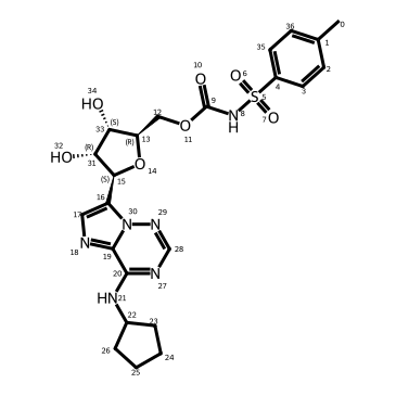 Cc1ccc(S(=O)(=O)NC(=O)OC[C@H]2O[C@@H](c3cnc4c(NC5CCCC5)ncnn34)[C@H](O)[C@@H]2O)cc1